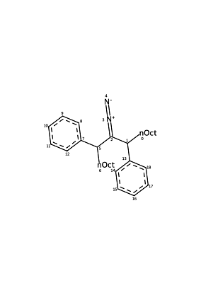 CCCCCCCCC(C(=[N+]=[N-])C(CCCCCCCC)c1ccccc1)c1ccccc1